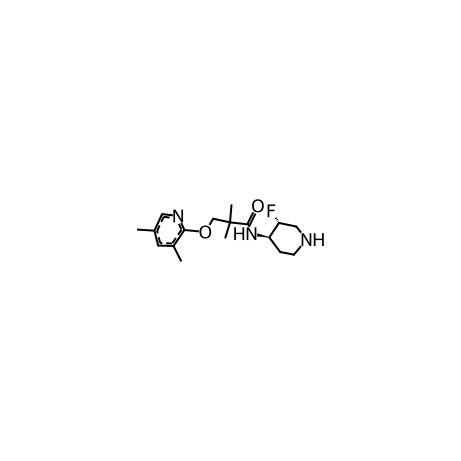 Cc1cnc(OCC(C)(C)C(=O)N[C@@H]2CCNC[C@H]2F)c(C)c1